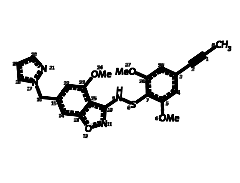 CC#Cc1cc(OC)c(SNc2noc3cc(Cn4cccn4)cc(OC)c23)c(OC)c1